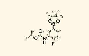 C=C(C)OC(=O)Nc1cc(B2OC(C)(C)C(C)(C)O2)ccc1F